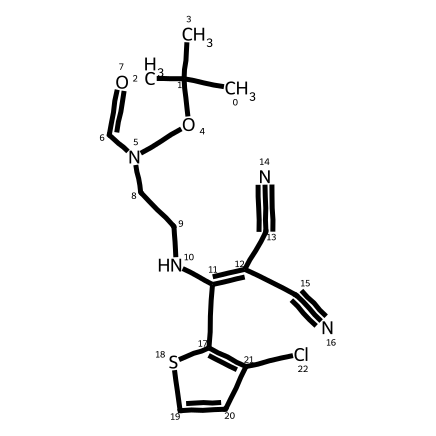 CC(C)(C)ON(C=O)CCNC(=C(C#N)C#N)c1sccc1Cl